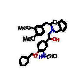 COc1ccc(CC(C)N(Cc2ccccc2)CC(O)c2ccc(OCc3ccccc3)c(NC=O)c2)cc1OC